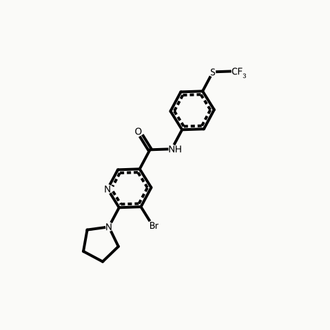 O=C(Nc1ccc(SC(F)(F)F)cc1)c1cnc(N2CCCC2)c(Br)c1